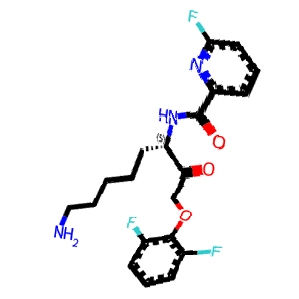 NCCCCC[C@H](NC(=O)c1cccc(F)n1)C(=O)COc1c(F)cccc1F